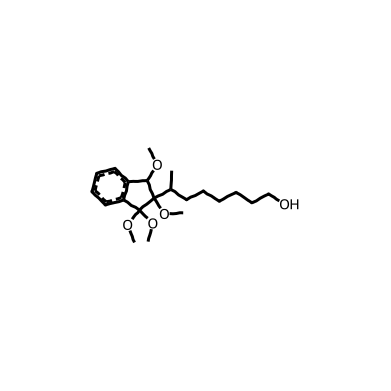 COC1c2ccccc2C(OC)(OC)C1(OC)C(C)CCCCCCO